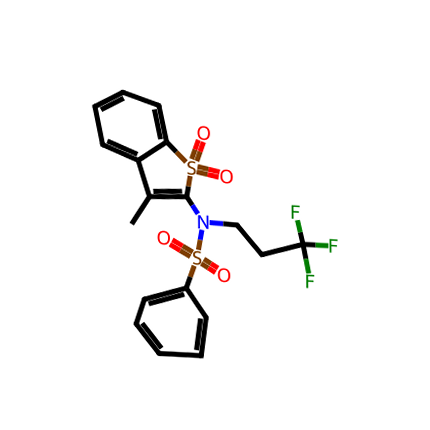 CC1=C(N(CCC(F)(F)F)S(=O)(=O)c2ccccc2)S(=O)(=O)c2ccccc21